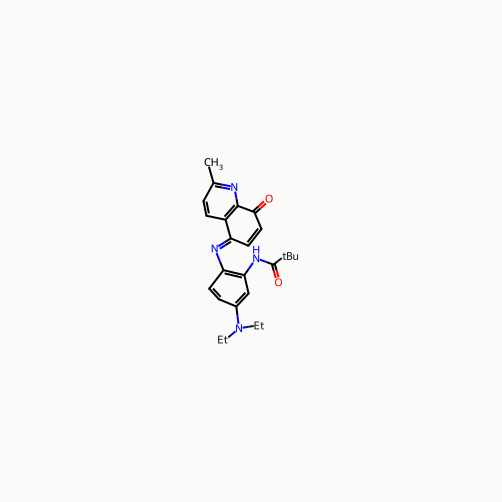 CCN(CC)c1ccc(/N=C2\C=CC(=O)c3nc(C)ccc32)c(NC(=O)C(C)(C)C)c1